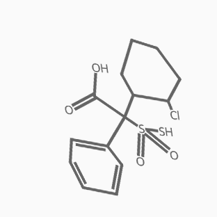 O=C(O)C(c1ccccc1)(C1CCCCC1Cl)S(=O)(=O)S